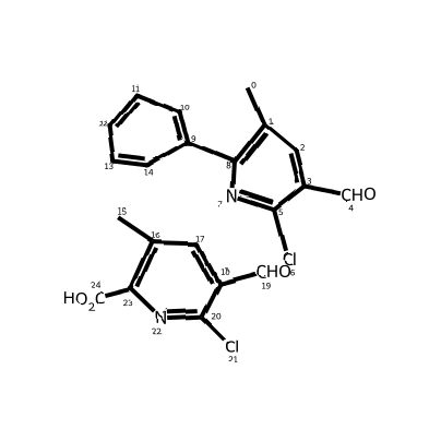 Cc1cc(C=O)c(Cl)nc1-c1ccccc1.Cc1cc(C=O)c(Cl)nc1C(=O)O